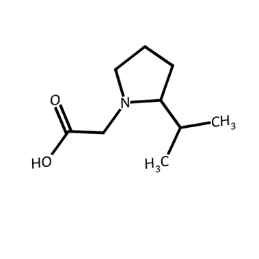 CC(C)C1CCCN1CC(=O)O